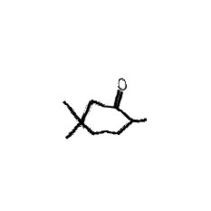 CC1CCC(C)(C)CC1=O